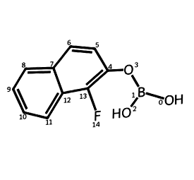 OB(O)Oc1ccc2ccccc2c1F